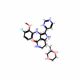 COc1c(F)cccc1Nc1c(-c2ccncn2)[nH]c2c1C(=O)NC[C@H]2C[C@@H]1COCCO1